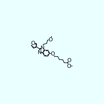 COCCCn1c(-c2ccoc2)nc2ccc(OCCCCCC(=O)OC)cc21